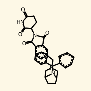 O=C1CCC(N2C(=O)c3ccc(CN4CC5CCC(C4)N5C(c4ccccc4)c4ccccc4)cc3C2=O)C(=O)N1